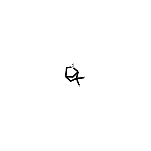 FC1(F)CC2CNC1C2